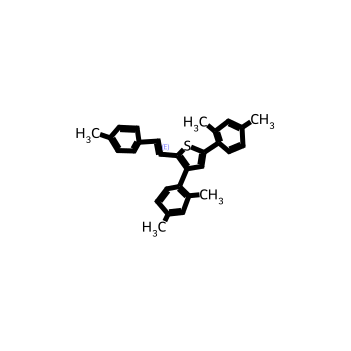 Cc1ccc(/C=C/c2sc(-c3ccc(C)cc3C)cc2-c2ccc(C)cc2C)cc1